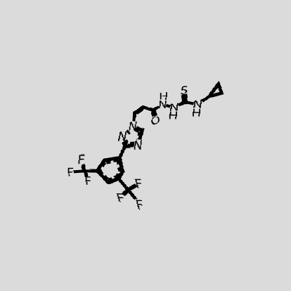 O=C(/C=C\n1cnc(-c2cc(C(F)(F)F)cc(C(F)(F)F)c2)n1)NNC(=S)NC1CC1